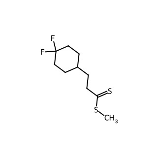 CSC(=S)CCC1CCC(F)(F)CC1